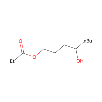 CCCCC(O)CCCOC(=O)CC